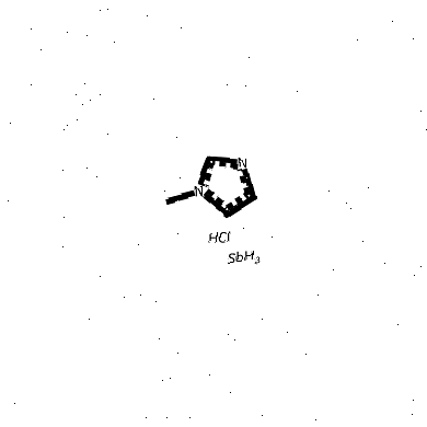 Cl.Cn1ccnc1.[SbH3]